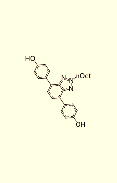 CCCCCCCCn1nc2c(-c3ccc(O)cc3)ccc(-c3ccc(O)cc3)c2n1